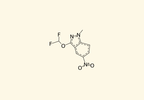 Cn1nc(OC(F)F)c2cc([N+](=O)[O-])ccc21